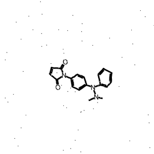 CN(C)N(c1ccccc1)c1ccc(N2C(=O)C=CC2=O)cc1